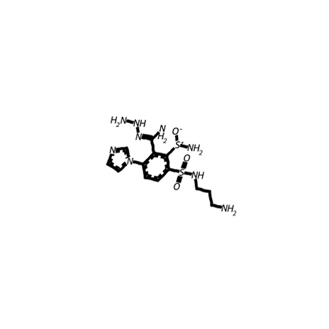 NCCCNS(=O)(=O)c1ccc(-n2ccnc2)c(/C(N)=N/NN)c1[S+](N)[O-]